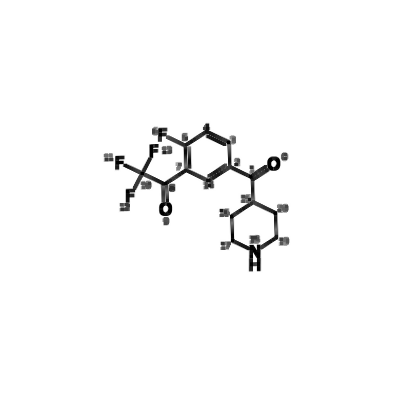 O=C(c1ccc(F)c(C(=O)C(F)(F)F)c1)C1CCNCC1